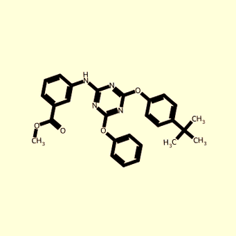 COC(=O)c1cccc(Nc2nc(Oc3ccccc3)nc(Oc3ccc(C(C)(C)C)cc3)n2)c1